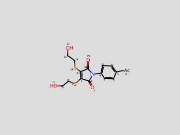 CC(=O)c1ccc(N2C(=O)C(SCCO)=C(SCCO)C2=O)cc1